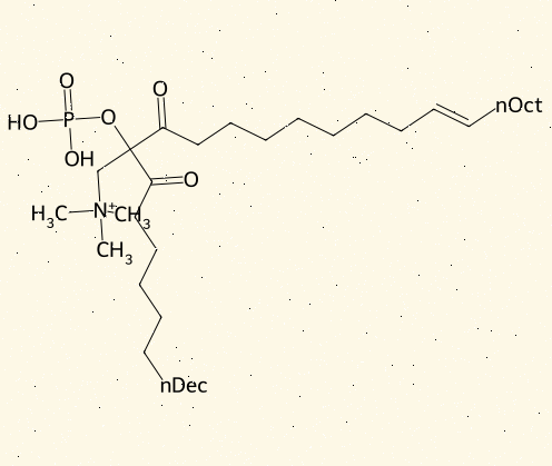 CCCCCCCCC=CCCCCCCCC(=O)C(C[N+](C)(C)C)(OP(=O)(O)O)C(=O)CCCCCCCCCCCCCCC